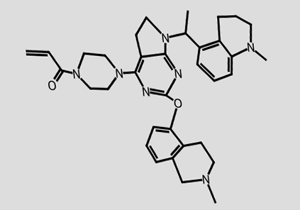 C=CC(=O)N1CCN(c2nc(Oc3cccc4c3CCN(C)C4)nc3c2CCN3C(C)c2cccc3c2CCCN3C)CC1